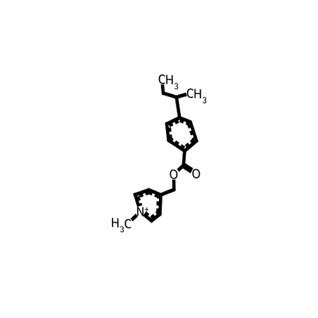 CCC(C)c1ccc(C(=O)OCc2cc[n+](C)cc2)cc1